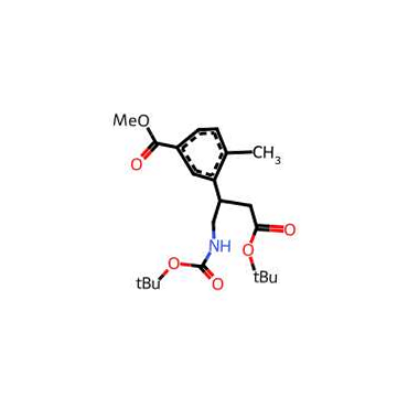 COC(=O)c1ccc(C)c(C(CNC(=O)OC(C)(C)C)CC(=O)OC(C)(C)C)c1